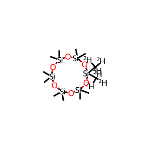 [2H]C([2H])([2H])[Si]1(C([2H])([2H])[2H])O[Si](C)(C)O[Si](C)(C)O[Si](C)(C)O[Si](C)(C)O[Si](C)(C)O1